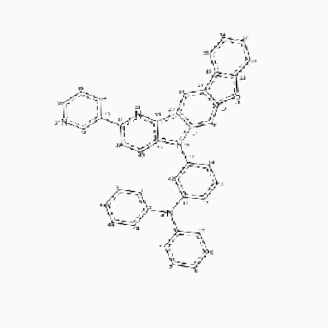 c1ccc(N(c2ccccc2)c2cccc(-n3c4cc5sc6ccccc6c5cc4c4nc(-c5cccnc5)ccc43)c2)cc1